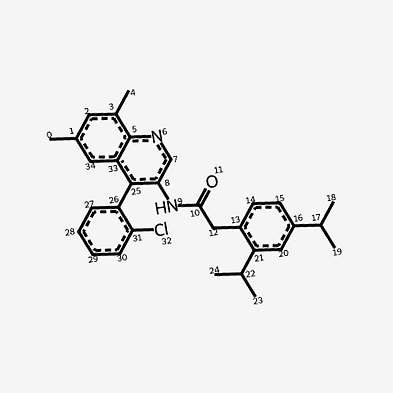 Cc1cc(C)c2ncc(NC(=O)Cc3ccc(C(C)C)cc3C(C)C)c(-c3ccccc3Cl)c2c1